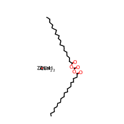 CCCCCCCCCCCCCCCCCC(=O)OC(=O)OC(=O)CCCCCCCCCCCCCCCCC.[CaH2].[CaH2].[Zn].[Zn]